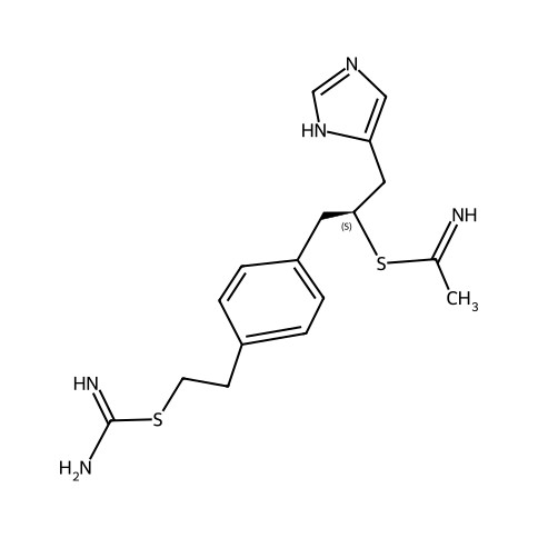 CC(=N)S[C@@H](Cc1ccc(CCSC(=N)N)cc1)Cc1cnc[nH]1